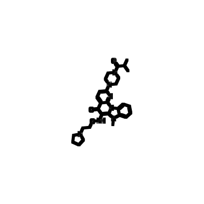 CC(C)C(=O)N1CCN(c2ccc3c(=O)c(NOCCN4CCCC4)c4n(C)c5ccccc5n4c3n2)CC1